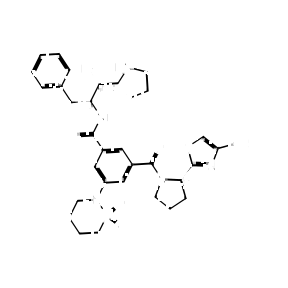 Cc1csc([C@H]2CCCN2C(=O)c2cc(C(=O)N[C@@H](Cc3ccccc3)[C@H](O)[C@H]3CCCN3)cc(N3CCCCS3(=O)=O)c2)n1